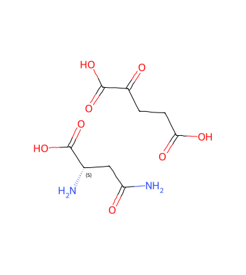 NC(=O)C[C@H](N)C(=O)O.O=C(O)CCC(=O)C(=O)O